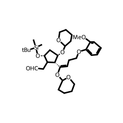 COc1ccccc1OCC/C=C(/OC1CCCCO1)[C@@H]1C(CC=O)[C@H](O[Si](C)(C)C(C)(C)C)C[C@@H]1OC1CCCCO1